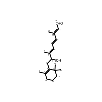 CC1=C(CC(O)/C(C)=C/C=C/C(C)=C/C=O)C(C)(C)CCC1